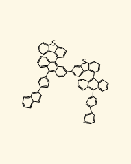 c1ccc(-c2ccc(-c3c4ccccc4c(-c4cccc5sc6cc(-c7ccc8c(-c9ccc(-c%10ccc%11ccccc%11c%10)cc9)c9ccccc9c(-c9cccc%10sc%11ccccc%11c9%10)c8c7)ccc6c45)c4ccccc34)cc2)cc1